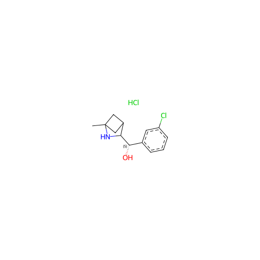 CC12CC(C1)C([C@@H](O)c1cccc(Cl)c1)N2.Cl